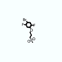 CS(=O)(=O)CCCOc1cc(F)c(Br)cc1F